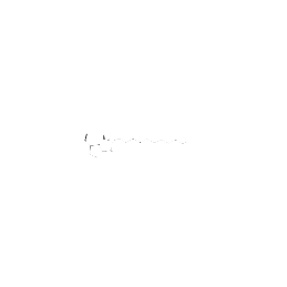 C=CC1CCC2C(=O)N(CCCCCCCCCCO)C(=O)C12